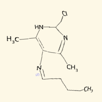 CCC/C=N\C1=C(C)NC(Cl)N=C1C